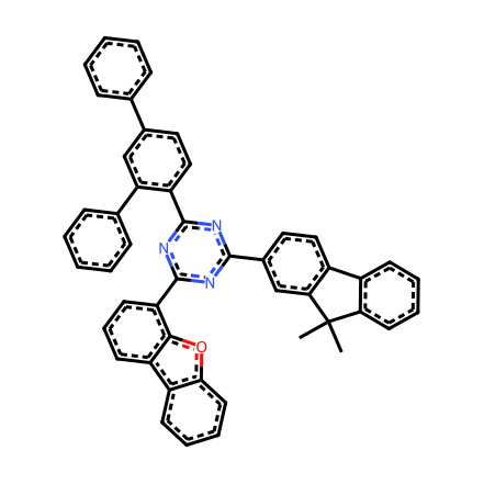 CC1(C)c2ccccc2-c2ccc(-c3nc(-c4ccc(-c5ccccc5)cc4-c4ccccc4)nc(-c4cccc5c4oc4ccccc45)n3)cc21